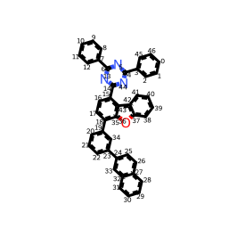 c1ccc(-c2nc(-c3ccccc3)nc(-c3ccc(-c4cccc(-c5ccc6ccccc6c5)c4)c4oc5ccccc5c34)n2)cc1